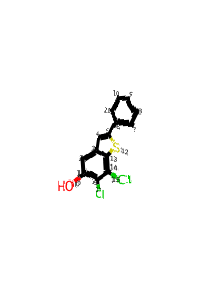 Oc1cc2cc(-c3ccccc3)sc2c(Cl)c1Cl